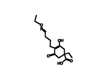 CCON=CCCCC1=C(O)CC(CC)(C(=O)O)CC1=O